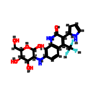 O=c1[nH]c2cc(N[C@@H]3C(O)OC(CO)[C@@H](O)C3O)ccc2c(C(F)(F)F)c1-c1ccc[nH]1